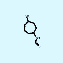 CC1CCCC(NC=O)CC1